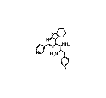 Cc1ccc(CC(N)C(N)c2nc(-c3ccncc3)nc3sc4c(c23)CCCC4)cc1